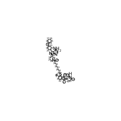 Nc1ncnc2c1c(-c1ccc(Oc3ccccc3)cc1)nn2C1CCCN(C(=O)CCCCCCCSc2c(F)ccc3c2C(=O)N(C2CCC(=O)NC2=O)C3=O)C1